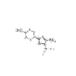 O=CC1CCC(n2cc([N+](=O)[O-])c(C(F)F)n2)CC1